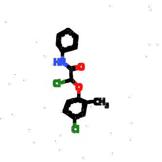 Cc1cc(Cl)ccc1OC(Cl)C(=O)Nc1ccccc1